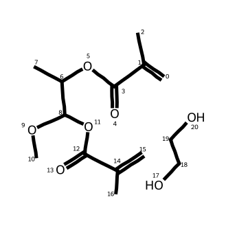 C=C(C)C(=O)OC(C)C(OC)OC(=O)C(=C)C.OCCO